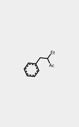 CCC(Cc1ccccc1)C(C)=O